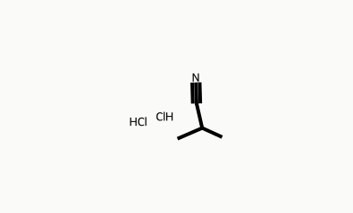 CC(C)C#N.Cl.Cl